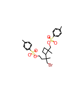 Cc1ccc(S(=O)(=O)OCCC(C)(CBr)C2CCC2(C)COS(=O)(=O)c2ccc(C)cc2)cc1